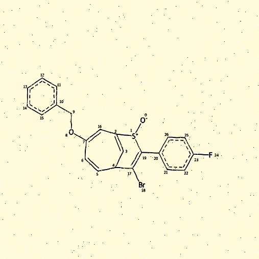 [O-][S+]1C2=CC(C=CC(OCc3ccccc3)=C2)C(Br)=C1c1ccc(F)cc1